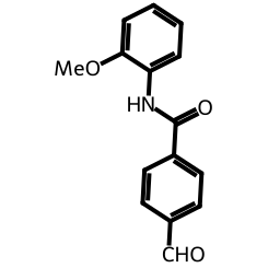 COc1ccccc1NC(=O)c1ccc(C=O)cc1